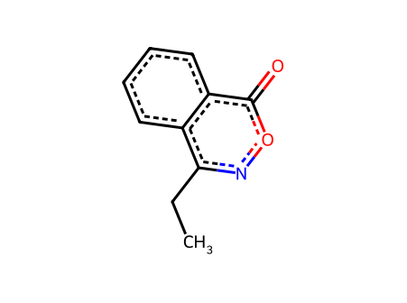 CCc1noc(=O)c2ccccc12